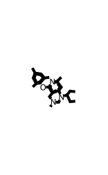 CCC(CC)N1CN(C)Cc2c1cc(C)nc2Oc1c(C)cc(C)cc1C